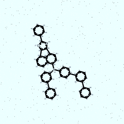 c1ccc(-c2cccc(-c3ccc(N(c4cccc(-c5ccccc5)c4)c4ccc5c6c(cccc46)-c4oc(-c6ccccc6)nc4-5)cc3)c2)cc1